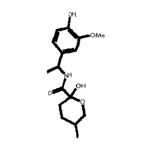 COc1cc(C(C)NC(=O)C2(O)CCC(C)CO2)ccc1O